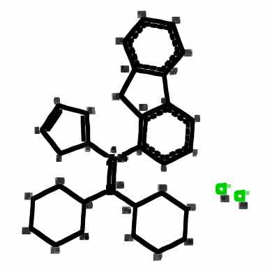 C1=CC[C]([Zr+2]([c]2cccc3c2Cc2ccccc2-3)=[Si](C2CCCCC2)C2CCCCC2)=C1.[Cl-].[Cl-]